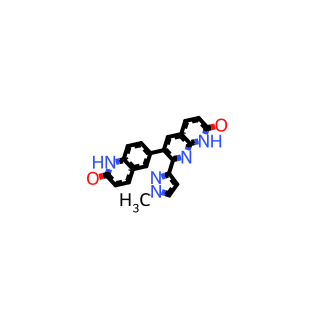 Cn1ccc(-c2nc3[nH]c(=O)ccc3cc2-c2ccc3[nH]c(=O)ccc3c2)n1